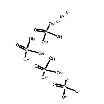 O=P(O)(O)O.O=P(O)(O)O.O=P(O)(O)O.O=P([O-])([O-])[O-].[K+].[K+].[K+]